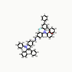 Fc1cc(-c2ccccc2)cc(-c2ccccc2)c1N(c1ccccc1)c1ccc(/C=C/c2ccc3c(c2)c(-c2ccccc2)c(-c2ccccc2)n3-c2ccccc2)cc1